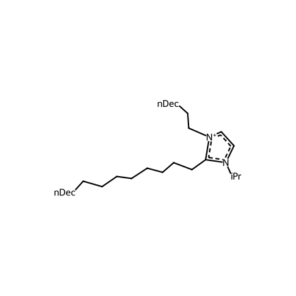 CCCCCCCCCCCCCCCCCCc1n(C(C)C)cc[n+]1CCCCCCCCCCCC